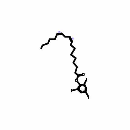 CCCCC/C=C\C/C=C\CCCCCCCC(=O)Oc1c(I)cc(I)cc1I